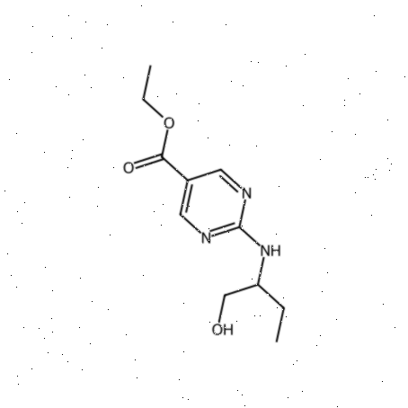 CCOC(=O)c1cnc(NC(CC)CO)nc1